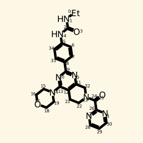 CCNC(=O)Nc1ccc(-c2nc3c(c(N4CCOCC4)n2)CCN(C(=O)c2ncccn2)C3)cc1